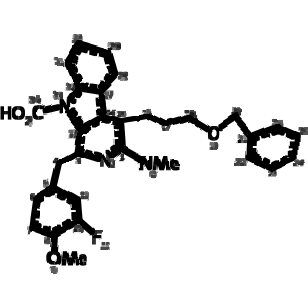 CNc1nc(Cc2ccc(OC)c(F)c2)c2c(c1CCCOCc1ccccc1)c1ccccc1n2C(=O)O